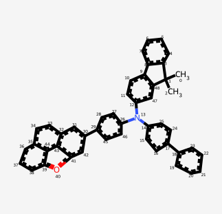 CC1(C)c2ccccc2-c2ccc(N(c3ccc(-c4ccccc4)cc3)c3ccc(-c4cc5ccc6cccc7oc(c4)c5c67)cc3)cc21